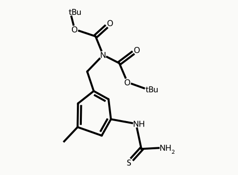 Cc1cc(CN(C(=O)OC(C)(C)C)C(=O)OC(C)(C)C)cc(NC(N)=S)c1